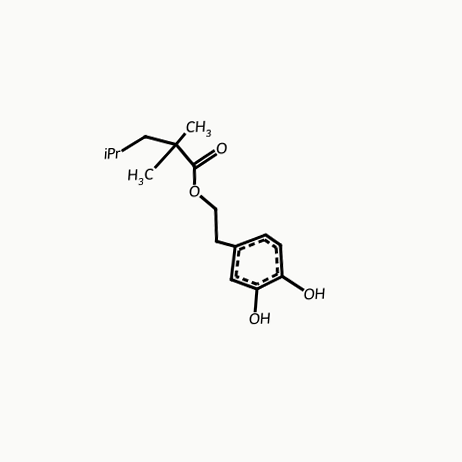 CC(C)CC(C)(C)C(=O)OCCc1ccc(O)c(O)c1